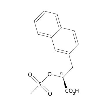 CS(=O)(=O)O[C@@H](Cc1ccc2ccccc2c1)C(=O)O